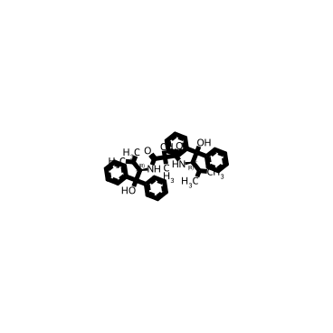 CC(C)[C@@H](NC(=O)C(C)(C)C(=O)N[C@H](C(C)C)C(O)(c1ccccc1)c1ccccc1)C(O)(c1ccccc1)c1ccccc1